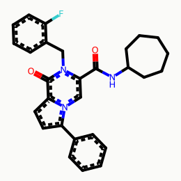 O=C(NC1CCCCCC1)c1cn2c(-c3ccccc3)ccc2c(=O)n1Cc1ccccc1F